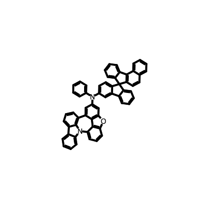 c1ccc(N(c2ccc3c(c2)-c2ccccc2C32c3ccccc3-c3c2ccc2ccccc32)c2cc3oc4cccc5c4c3c(c2)c2cccc3c4ccccc4n5c23)cc1